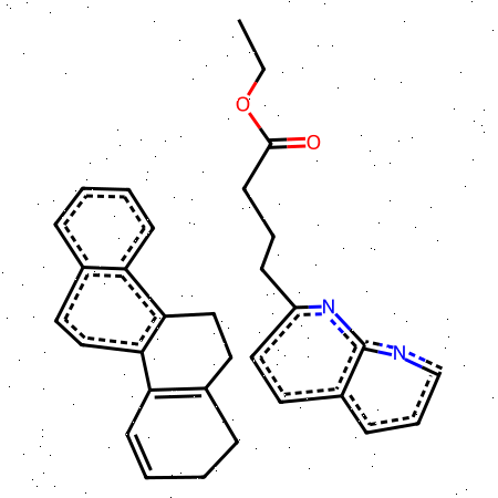 C1=CC2=C(CC1)CCc1c2ccc2ccccc12.CCOC(=O)CCCc1ccc2cccnc2n1